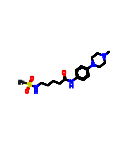 CC(C)S(=O)(=O)NCCCCC(=O)Nc1ccc(N2CCN(C)CC2)cc1